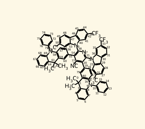 CC1(C)c2ccccc2N(c2ccccc2)c2ccc(-c3c(-n4c5cc(C(F)(F)F)ccc5c5ccc(C(F)(F)F)cc54)nc(-n4c5cc(C(F)(F)F)ccc5c5ccc(C(F)(F)F)cc54)c(-c4ccc5c(c4)C(C)(C)c4ccccc4N5c4ccccc4)c3C#N)cc21